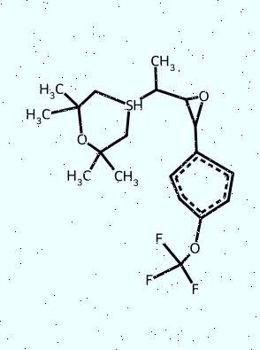 CC(C1OC1c1ccc(OC(F)(F)F)cc1)[SH]1CC(C)(C)OC(C)(C)C1